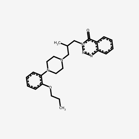 CCCOc1ccccc1N1CCN(CC(C)Cn2nnc3ccccc3c2=O)CC1